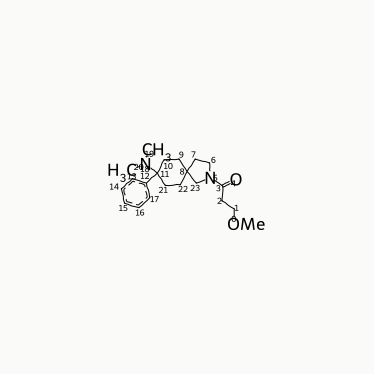 COCCC(=O)N1CCC2(CCC(c3ccccc3)(N(C)C)CC2)C1